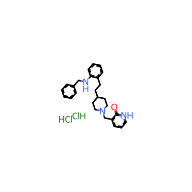 Cl.Cl.O=c1[nH]cccc1CN1CCC(CCc2ccccc2NCc2ccccc2)CC1